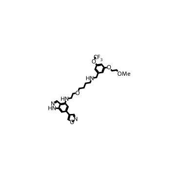 COCCOc1cc(CNCCCCOCCNc2cc(-c3cnoc3)cc3[nH]ncc23)cc(OC(F)(F)F)c1